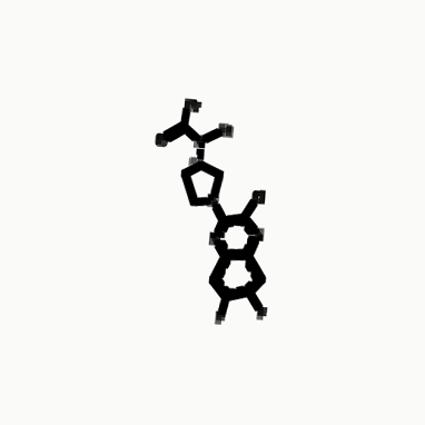 CCN(C(=O)C(C)C)[C@H]1CCN(c2nc3cc(F)c(F)cc3nc2Cl)C1